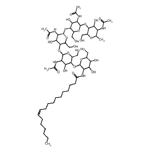 CCCCCC/C=C\CCCCCCCCCC(=O)NC1C(OC2C(CO)OC(OC3C(CO)OC(OC4C(CO)OC(OC5C(CO)OC(C)C(NC(C)=O)C5O)C(NC(C)=O)C4O)C(NC(C)=O)C3O)C(NC(C)=O)C2O)OC(CO)C(O)C1O